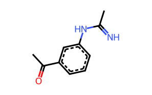 CC(=N)Nc1cccc(C(C)=O)c1